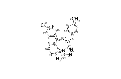 Cc1ccc(CN2N=C(c3ccc(Cl)cc3)c3ccccc3-n3c(C)nnc32)cc1